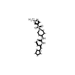 Cn1cc(S(=O)(=O)N2CCC(NC3=NC=CC(=CC4CCCC4)N3)CC2)cn1